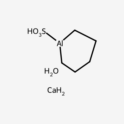 O.O=[S](=O)(O)[Al]1[CH2]CCC[CH2]1.[CaH2]